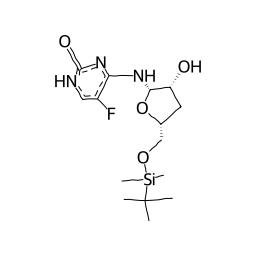 CC(C)(C)[Si](C)(C)OC[C@H]1C[C@@H](O)[C@@H](Nc2nc(=O)[nH]cc2F)O1